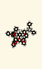 N#Cc1c(-c2ccc(-c3nc(-c4ccccc4)nc(-c4ccccc4)n3)cc2)c(-n2c3ccccc3c3ccccc32)c(-c2cc(-c3ccccc3)cc(-c3ccccc3)c2)c(-n2c3ccc(-c4ccccc4)cc3c3cc(-c4ccccc4)ccc32)c1-n1c2ccccc2c2ccccc21